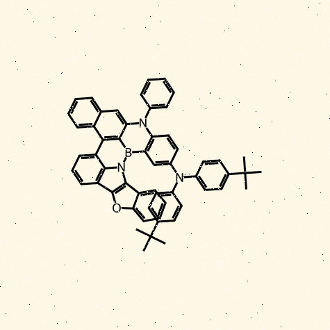 CC(C)(C)c1ccc(N(c2ccc(C(C)(C)C)cc2)c2ccc3c(c2)B2c4c(cc5ccccc5c4-c4cccc5c6oc7ccccc7c6n2c45)N3c2ccccc2)cc1